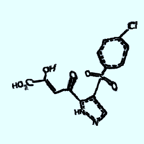 O=C(O)C(O)=CC(=O)c1[nH]ncc1S(=O)(=O)c1ccc(Cl)cc1